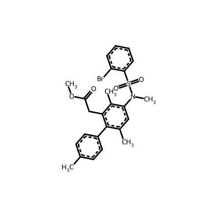 COC(=O)Cc1c(C)c(N(C)S(=O)(=O)c2ccccc2Br)cc(C)c1-c1ccc(C)cc1